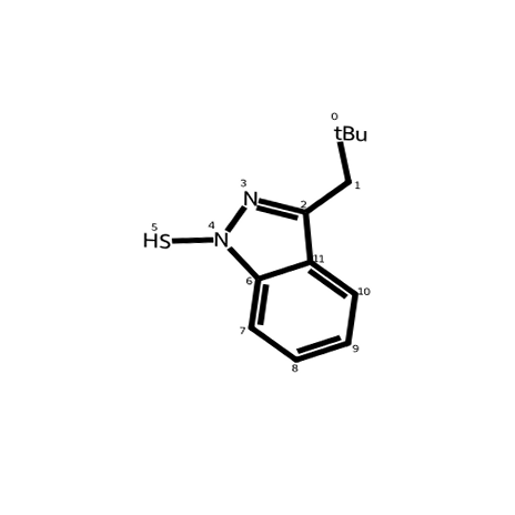 CC(C)(C)Cc1nn(S)c2ccccc12